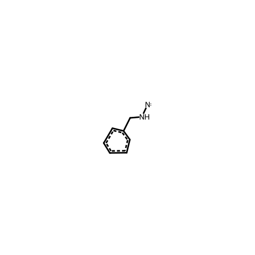 [N]NCc1ccccc1